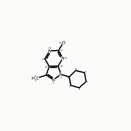 Cc1nn(C2CCCCC2)c2nc(Cl)ncc12